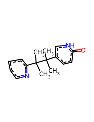 CC(C)(c1ccc(=O)[nH]c1)C(C)(C)c1ccccn1